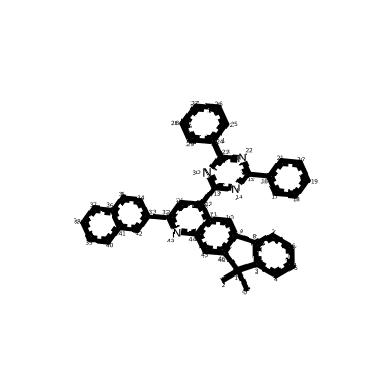 CC1(C)c2ccccc2-c2cc3c(-c4nc(-c5ccccc5)nc(-c5ccccc5)n4)cc(-c4ccc5ccccc5c4)nc3cc21